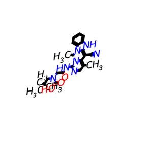 CCN1C(=C(C#N)c2nc(NC(=O)CN(CC(C)(C)C)C(=O)O)ncc2C)Nc2ccccc21